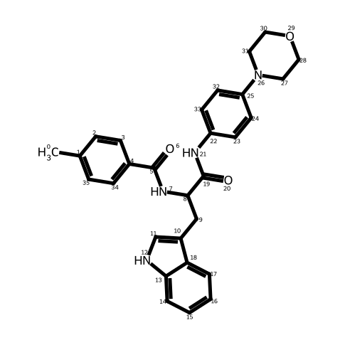 Cc1ccc(C(=O)NC(Cc2c[nH]c3ccccc23)C(=O)Nc2ccc(N3CCOCC3)cc2)cc1